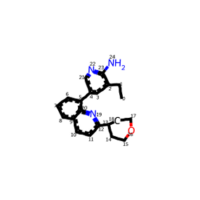 CCc1cc(-c2cccc3ccc(C4CCOCC4)nc23)cnc1N